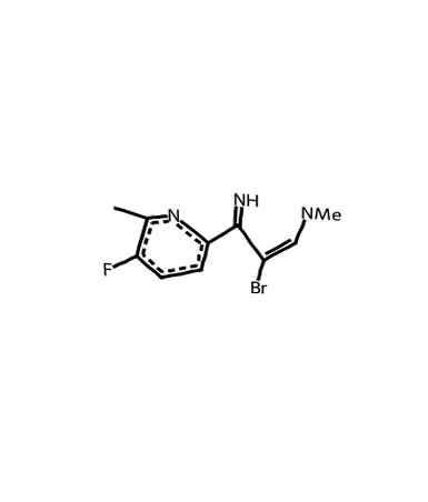 CN/C=C(/Br)C(=N)c1ccc(F)c(C)n1